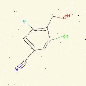 N#Cc1cc(F)c(CO)c(Cl)c1